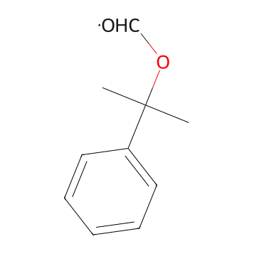 CC(C)(O[C]=O)c1ccccc1